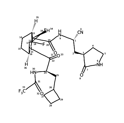 N#C[C@H](C[C@H]1CCNC1=O)NC(=O)[C@H]1[C@@H]2CC[C@@H](CC2(F)F)N1C(=O)[C@@H](CC1CCC1)NC(=O)C(F)(F)F